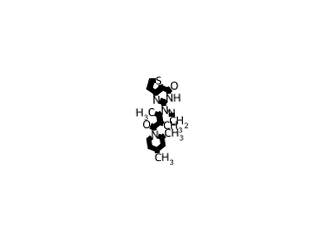 C=NN(/C(C)=C(\C)C(=O)N1CCC(C)CC1C)c1nc2ccsc2c(=O)[nH]1